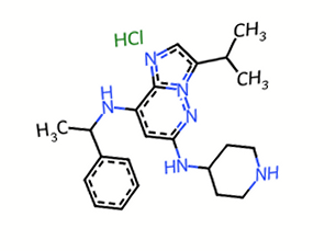 CC(C)c1cnc2c(NC(C)c3ccccc3)cc(NC3CCNCC3)nn12.Cl